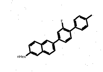 CCCCCCc1ccc2cc(-c3ccc(-c4ccc(C)cc4)c(F)c3)ccc2c1